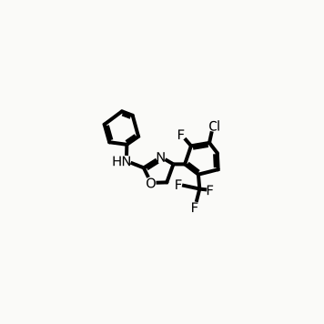 Fc1c(Cl)ccc(C(F)(F)F)c1C1COC(Nc2ccccc2)=N1